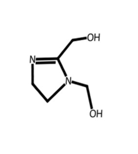 OCC1=NCCN1CO